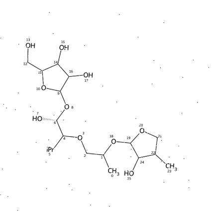 CC(COC(C(C)C)[C@H](O)OC1OC(CO)C(O)C1O)OC1OCC(C)C1O